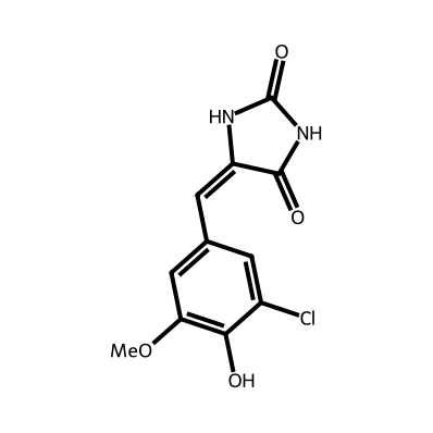 COc1cc(/C=C2/NC(=O)NC2=O)cc(Cl)c1O